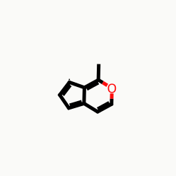 Cc1occc2cc[c]c1-2